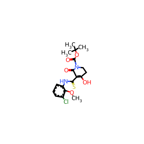 COc1c(Cl)cccc1NC(=S)C1=C(O)CCN(C(=O)OC(C)(C)C)C1=O